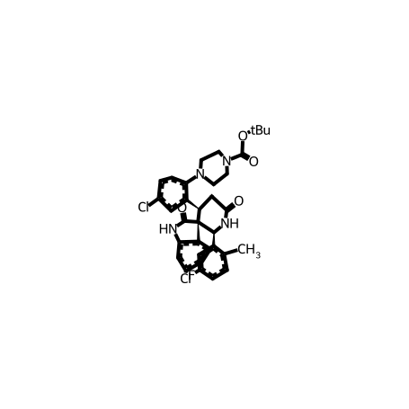 Cc1ccc(F)cc1[C@@H]1NC(=O)C[C@H](c2cc(Cl)ccc2N2CCN(C(=O)OC(C)(C)C)CC2)[C@@]12C(=O)Nc1cc(Cl)ccc12